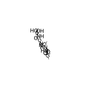 Cc1cc(C)c(S(=O)(=O)N[C@@H](C)CNc2cc(C)cc3c2cnn3-c2ccc(C(=O)NC3CCS(O)(O)C3)cc2)c(C)c1